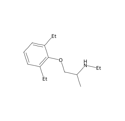 CCNC(C)COc1c(CC)cccc1CC